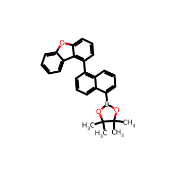 CC1(C)OB(c2cccc3c(-c4cccc5oc6ccccc6c45)cccc23)OC1(C)C